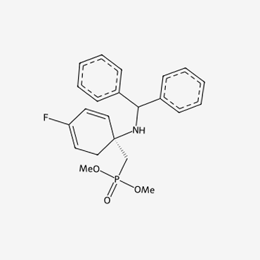 COP(=O)(C[C@@]1(NC(c2ccccc2)c2ccccc2)C=CC(F)=CC1)OC